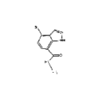 CNC(=O)c1ccc(Br)c2cc[nH]c12